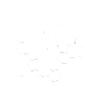 CCN1CCN(c2cc(OC)c(Nc3nccc(-c4cc(C#N)c5c(c4)C(C)(CO[Si](C)(C)C(C)(C)C)CN5C(=O)OC(C)(C)C)n3)cc2Cl)CC1